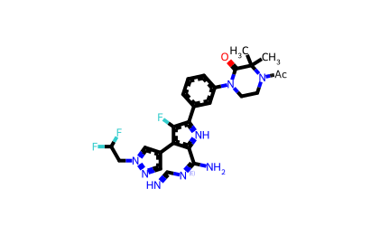 CC(=O)N1CCN(c2cccc(-c3[nH]c(/C(N)=N\C=N)c(-c4cnn(CC(F)F)c4)c3F)c2)C(=O)C1(C)C